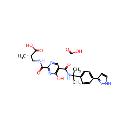 C[C@@H](CNC(=O)c1ncc(C(=O)NC(C)(C)c2ccc(-c3cc[nH]n3)cc2)c(O)n1)C(=O)O.O=CO